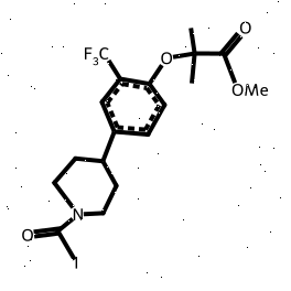 COC(=O)C(C)(C)Oc1ccc(C2CCN(C(=O)I)CC2)cc1C(F)(F)F